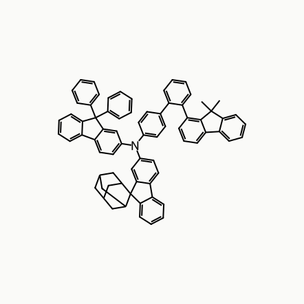 CC1(C)c2ccccc2-c2cccc(-c3ccccc3-c3ccc(N(c4ccc5c(c4)C(c4ccccc4)(c4ccccc4)c4ccccc4-5)c4ccc5c(c4)C4(c6ccccc6-5)C5CC6CC(C5)CC4C6)cc3)c21